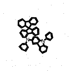 C1=CC2c3ccccc3C3(c4ccccc4-c4c(N(c5ccccc5)c5ccc6c(c5)c5ccccc5n6-c5ccccc5)cccc43)C2C=C1